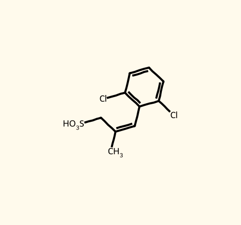 CC(=Cc1c(Cl)cccc1Cl)CS(=O)(=O)O